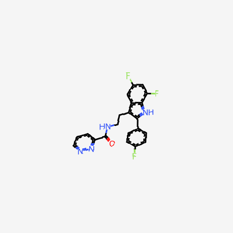 O=C(NCCc1c(-c2ccc(F)cc2)[nH]c2c(F)cc(F)cc12)c1cccnn1